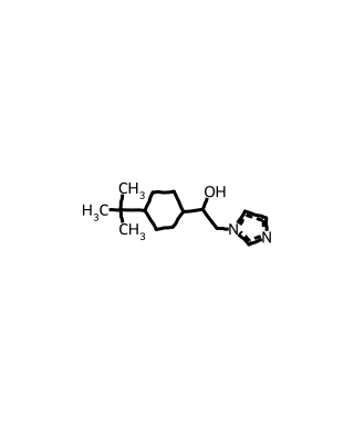 CC(C)(C)C1CCC(C(O)Cn2ccnc2)CC1